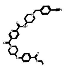 CCOC(=O)c1ccc(OC2CCN(C(=O)c3ccc(C(=O)NC4CCN(Cc5ccc(C#N)cc5)CC4)nc3)CC2)cc1